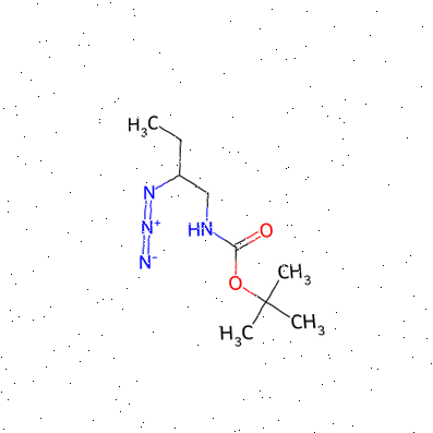 CCC(CNC(=O)OC(C)(C)C)N=[N+]=[N-]